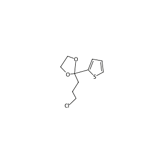 ClCCCC1(c2cccs2)OCCO1